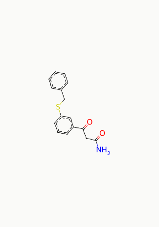 NC(=O)CC(=O)c1cccc(SCc2ccccc2)c1